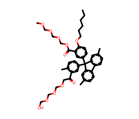 CCCCCCOc1ccc(C2(c3ccc(C)c(C(=O)COCOCOCO)c3)c3cc(C)ccc3-c3ccc(C)cc32)cc1C(=O)OCOCOCOC